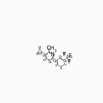 Cc1nc(C2=CCCC(C(F)(F)F)=C2)ccc1C1CC1